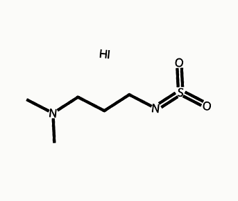 CN(C)CCCN=S(=O)=O.I